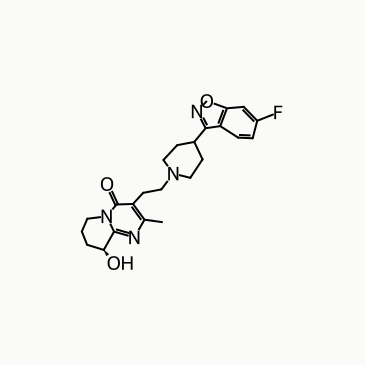 Cc1nc2n(c(=O)c1CCN1CCC(c3noc4cc(F)ccc34)CC1)CCC[C@@H]2O